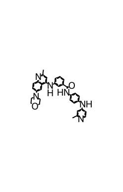 Cc1cc(Nc2ccc(NC(=O)c3cccc(Nc4cc(C)nc5ccc(N6CCOCC6)cc45)c3)cc2)ccn1